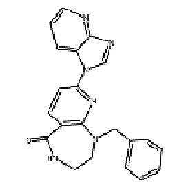 O=C1NCCN(Cc2ccccc2)c2nc(-n3cnc4ncccc43)ccc21